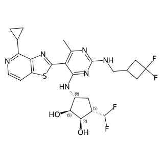 Cc1nc(NCC2CC(F)(F)C2)nc(N[C@@H]2C[C@H](C(F)F)[C@@H](O)[C@H]2O)c1-c1nc2c(C3CC3)nccc2s1